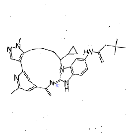 C=C(CC(C)(C)C)Nc1ccc2c(c1)N1/C(=N/C(=C)c3cc(C)nc(c3)-c3cnn(C)c3CCCC1C1CC1)N2